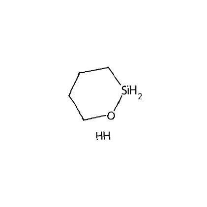 C1CC[SiH2]OC1.[HH]